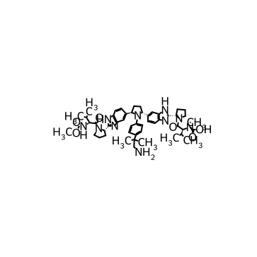 COC(=O)N[C@H](C(=O)N1CCC[C@H]1c1nc2cc([C@H]3CC[C@H](c4ccc5nc([C@@H]6CCCN6C(=O)[C@H](C(C)C)N(C)C(=O)O)[nH]c5c4)N3c3ccc(C(C)(C)CN)cc3)ccc2[nH]1)C(C)C